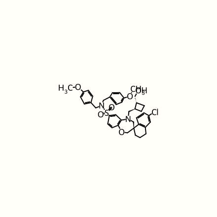 COc1ccc(CN(Cc2ccc(OC)cc2)S(=O)(=O)c2ccc3c(c2)N(C[C@@H]2CC[C@H]2CO)C[C@@]2(CCCc4cc(Cl)ccc42)CO3)cc1